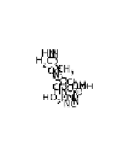 C=c1[nH]nc/c1=C/C=C(\C)C(=O)N1CCc2c(cc(Cl)c(C(=O)N[C@@H](CN/C(=N\C#N)N3CC[C@H](O)[C@@H](O)C3)C(=O)O)c2Cl)C1